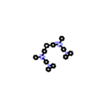 C1=CC(c2ccc(C3N=C(c4ccc(-n5c6ccccc6c6ccccc65)cc4)N=C(c4ccccc4)N3)cc2)=CC(c2ccc(-c3nc(-c4ccccc4)nc(-c4ccc(-n5c6ccccc6c6ccccc65)cc4)n3)cc2)C1